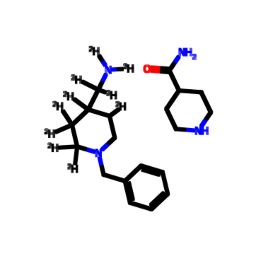 NC(=O)C1CCNCC1.[2H]C1CN(Cc2ccccc2)C([2H])([2H])C([2H])([2H])C1([2H])C([2H])([2H])N([2H])[2H]